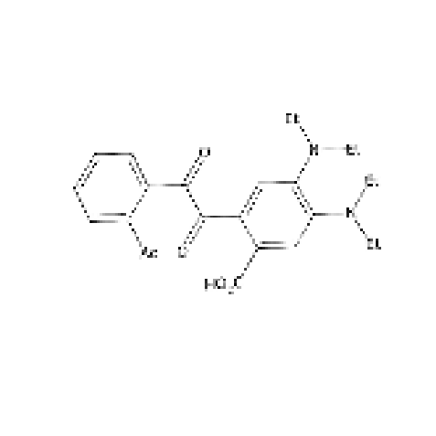 CCN(CC)c1cc(C(=O)O)c(C(=O)C(=O)c2ccccc2C(C)=O)cc1N(CC)CC